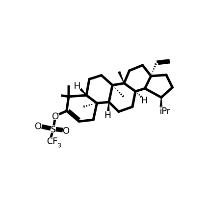 C=C[C@]12CC[C@@H](C(C)C)C1[C@H]1CC[C@@H]3[C@@]4(C)CC=C(OS(=O)(=O)C(F)(F)F)C(C)(C)[C@@H]4CC[C@@]3(C)[C@]1(C)CC2